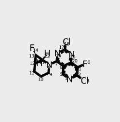 Fc1c(Cl)ncc2c(N3CCC[C@@H]4[C@H](F)[C@@H]43)nc(Cl)nc12